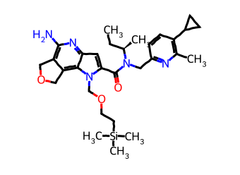 CC[C@@H](C)N(Cc1ccc(C2CC2)c(C)n1)C(=O)c1cc2nc(N)c3c(c2n1COCC[Si](C)(C)C)COC3